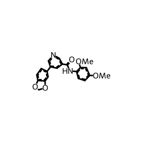 COc1ccc(NC(=O)c2cncc(-c3ccc4c(c3)OCO4)c2)c(OC)c1